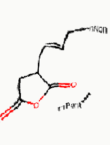 CCCCCC.CCCCCCCCCCC=CC1CC(=O)OC1=O